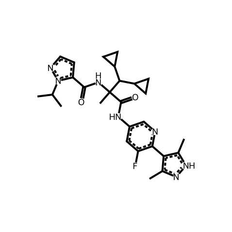 Cc1n[nH]c(C)c1-c1ncc(NC(=O)C(C)(NC(=O)c2ccnn2C(C)C)C(C2CC2)C2CC2)cc1F